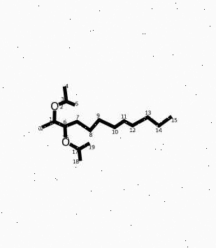 [CH2]C(OC(C)C)C(CCCCCCCCC)OC(C)C